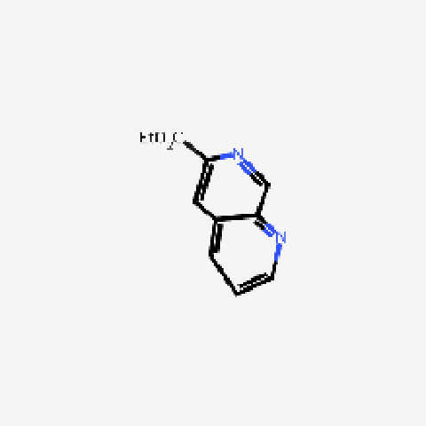 CCOC(=O)c1cc2cccnc2cn1